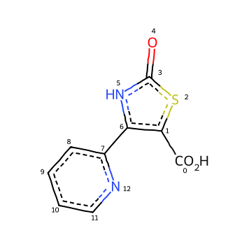 O=C(O)c1sc(=O)[nH]c1-c1ccccn1